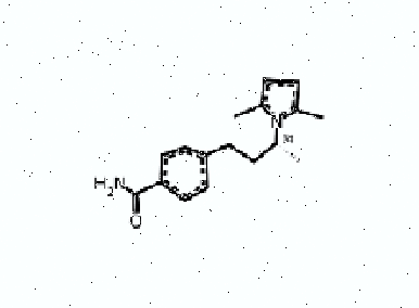 Cc1ccc(C)n1[C@H](C)CCc1ccc(C(N)=O)cc1